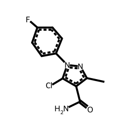 Cc1nn(-c2ccc(F)cc2)c(Cl)c1C(N)=O